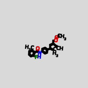 C#C/C(=C\C(=C/C)c1ccc(NC(=O)c2c(C)cccc2F)cc1)COOC